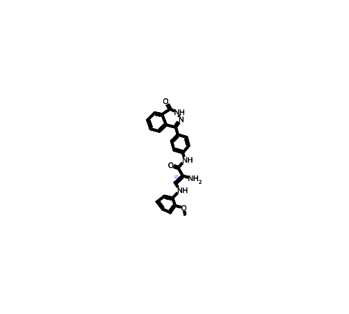 COc1ccccc1N/C=C(\N)C(=O)Nc1ccc(-c2n[nH]c(=O)c3ccccc23)cc1